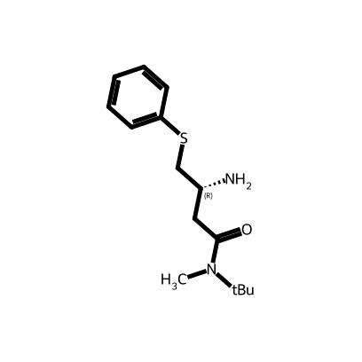 CN(C(=O)C[C@@H](N)CSc1ccccc1)C(C)(C)C